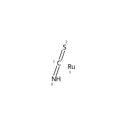 N=C=S.[Ru]